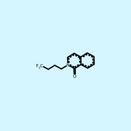 O=c1c2ccccc2ccn1CCCC(F)(F)F